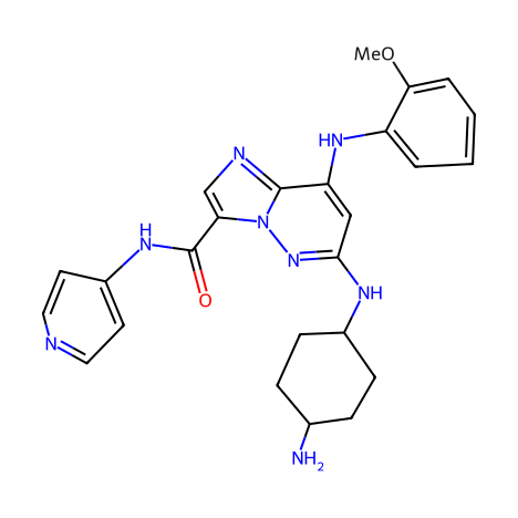 COc1ccccc1Nc1cc(NC2CCC(N)CC2)nn2c(C(=O)Nc3ccncc3)cnc12